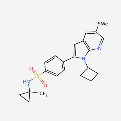 CSc1cnc2c(c1)cc(-c1ccc(S(=O)(=O)NC3(C(F)(F)F)CC3)cc1)n2C1CCC1